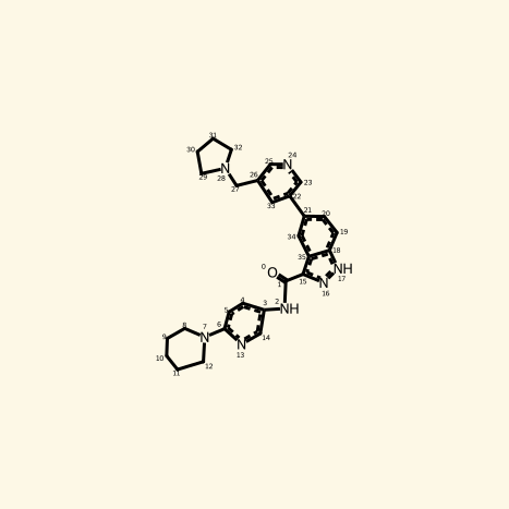 O=C(Nc1ccc(N2CCCCC2)nc1)c1n[nH]c2ccc(-c3cncc(CN4CCCC4)c3)cc12